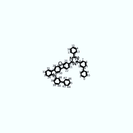 c1ccc(-c2cccc(-c3nc(-c4ccccc4)nc(-c4ccc5c(c4)oc4cc6c7ccccc7n(-c7cccc(-c8ccccc8)c7)c6cc45)n3)c2)cc1